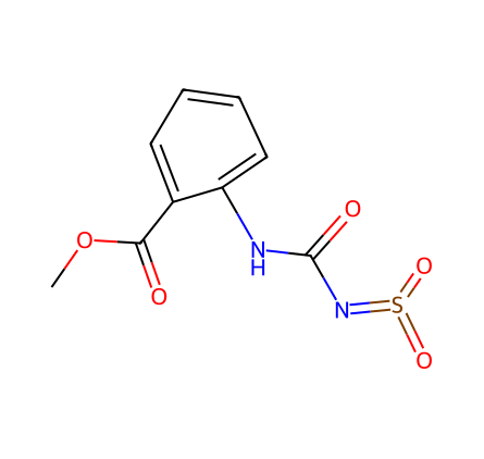 COC(=O)c1ccccc1NC(=O)N=S(=O)=O